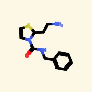 NCCC1SC=CN1C(=O)NCc1ccccc1